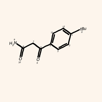 CC(C)(C)c1ccc(C(=O)CC(N)=O)cc1